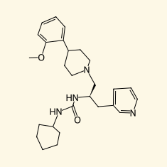 COc1ccccc1C1CCN(C[C@@H](Cc2cccnc2)NC(=O)NC2CCCCC2)CC1